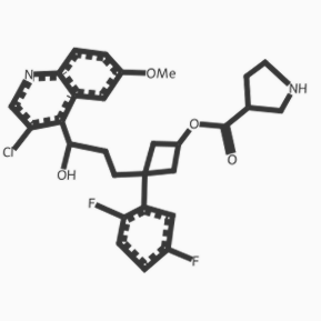 COc1ccc2ncc(Cl)c(C(O)CCC3(c4cc(F)ccc4F)CC(OC(=O)C4CCNC4)C3)c2c1